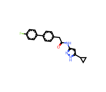 O=C(Cc1ccc(-c2ccc(F)cc2)cc1)Nc1cc(C2CC2)[nH]n1